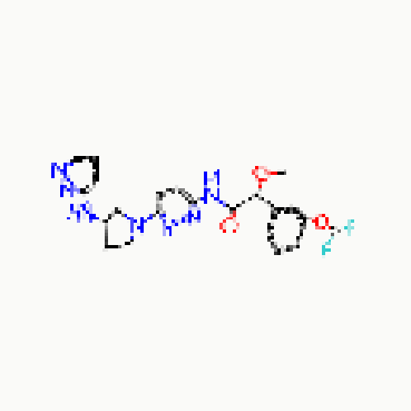 COC(C(=O)Nc1ccc(N2CC[C@@H](Nc3cccnn3)C2)nn1)c1cccc(OC(F)F)c1